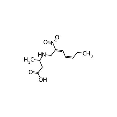 CC/C=C\C=C(/CNC(C)CC(=O)O)[N+](=O)[O-]